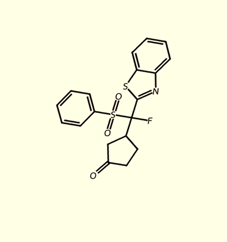 O=C1CCC(C(F)(c2nc3ccccc3s2)S(=O)(=O)c2ccccc2)C1